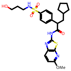 COc1ccc2nc(NC(=O)C(CC3CCCC3)c3ccc(S(=O)(=O)NCCCO)cc3)sc2n1